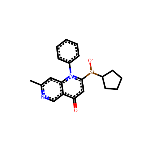 Cc1cc2c(cn1)c(=O)cc([S+]([O-])C1CCCC1)n2-c1ccccc1